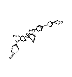 N#Cc1cc(-c2ncnc(Nc3ccc(N4CCN(C5COC5)CC4)cc3)n2)ccc1O[C@H]1CC[S@@+]([O-])CC1